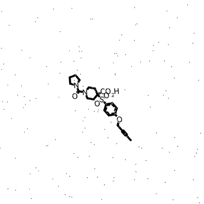 CC#CCOc1ccc(S(=O)(=O)C2(C(=O)O)CCN(C(=O)N3CCCC3)CC2)cc1